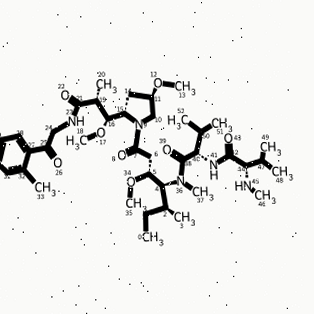 CC[C@H](C)[C@@H]([C@@H](CC(=O)N1C[C@H](OC)C[C@H]1[C@H](OC)[C@@H](C)C(=O)NCC(=O)c1ccccc1C)OC)N(C)C(=O)[C@@H](NC(=O)[C@@H](NC)C(C)C)C(C)C